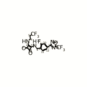 O=c1c(NCCC(F)(F)F)c(NCc2ccc(-c3noc(C(F)(F)F)n3)cc2F)c1=O